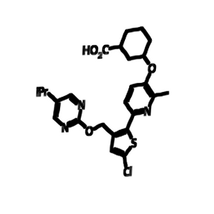 Cc1nc(-c2sc(Cl)cc2COc2ncc(C(C)C)cn2)ccc1OC1CCCC(C(=O)O)C1